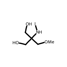 COCC(CO)(CO)NI